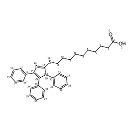 O=C(O)CCCCCCCCCSc1nc(-c2ccccc2)c(-c2ccccc2)n1-c1ccccc1